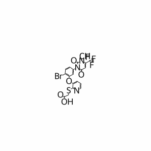 Cn1c(C(F)(F)F)cc(=O)n(-c2ccc(Br)c(Oc3cccnc3SCC(=O)O)c2)c1=O